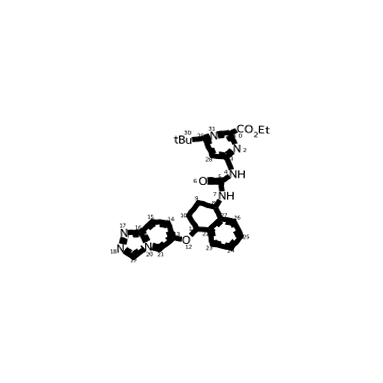 CCOC(=O)c1nc(NC(=O)NC2CCC(Oc3ccc4nncn4c3)c3ccccc32)cc(C(C)(C)C)n1